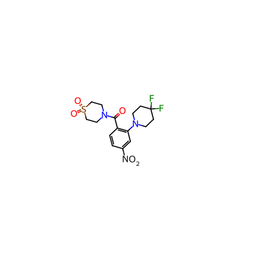 O=C(c1ccc([N+](=O)[O-])cc1N1CCC(F)(F)CC1)N1CCS(=O)(=O)CC1